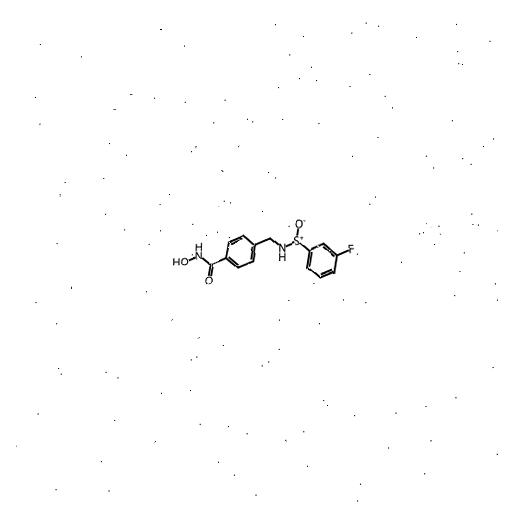 O=C(NO)c1ccc(CN[S+]([O-])c2cccc(F)c2)cc1